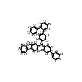 c1ccc(-c2ccc(N(c3ccc(-c4ccccc4-c4ccccc4)cc3)c3ccc4c(c3)oc3cnccc34)cc2)cc1